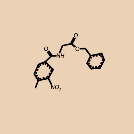 Cc1ccc(C(=O)NCC(=O)OCc2ccccc2)cc1[N+](=O)[O-]